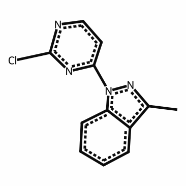 Cc1nn(-c2ccnc(Cl)n2)c2ccccc12